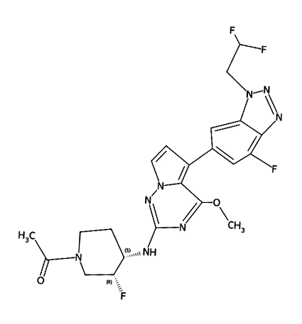 COc1nc(N[C@H]2CCN(C(C)=O)C[C@H]2F)nn2ccc(-c3cc(F)c4nnn(CC(F)F)c4c3)c12